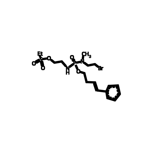 CCS(=O)(=O)OCCNP(=O)(OCCC=Cc1ccccc1)N(C)CCBr